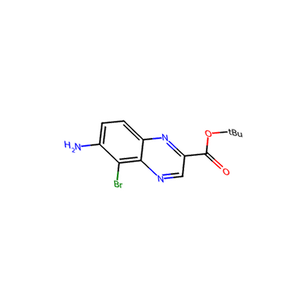 CC(C)(C)OC(=O)c1cnc2c(Br)c(N)ccc2n1